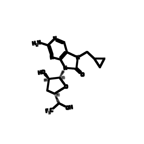 Nc1ncc2c(n1)n([C@@H]1O[C@H](C(O)C(F)(F)F)C[C@H]1O)c(=O)n2CC1CC1